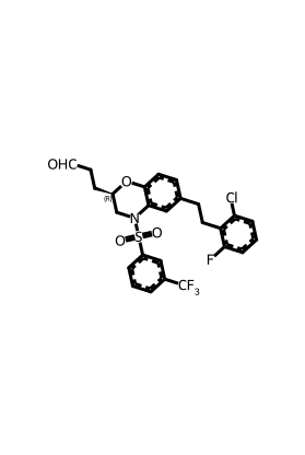 O=CCC[C@@H]1CN(S(=O)(=O)c2cccc(C(F)(F)F)c2)c2cc(CCc3c(F)cccc3Cl)ccc2O1